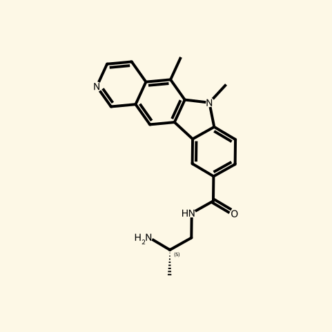 Cc1c2ccncc2cc2c3cc(C(=O)NC[C@H](C)N)ccc3n(C)c12